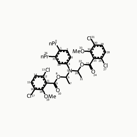 CCCc1ccc(N(C(C)OC(=O)c2c(Cl)ccc(Cl)c2OC)C(C)OC(=O)c2c(Cl)ccc(Cl)c2OC)cc1CCC